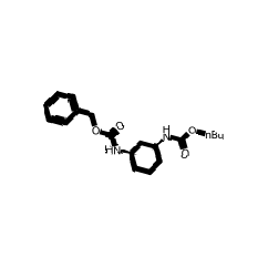 CCCCOC(=O)N[C@H]1CCC[C@@H](NC(=O)OCc2ccccc2)C1